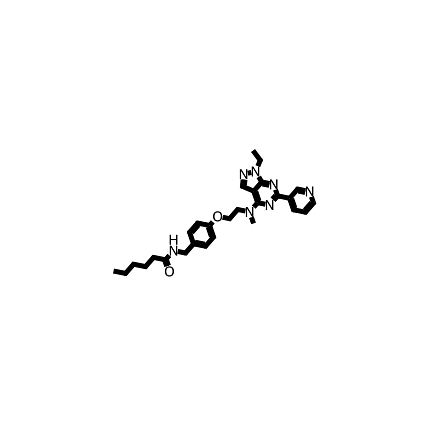 CCCCCC(=O)NCc1ccc(OCCN(C)c2nc(-c3cccnc3)nc3c2cnn3CC)cc1